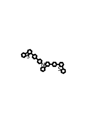 c1ccc2c(c1)sc1c(-c3ccc(-c4ccc(-n5c6ccccc6c6cc(-c7ccc(-c8cccc9c8sc8ccccc89)cc7)ccc65)cc4)cc3)cccc12